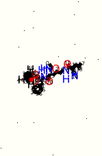 CC(=O)N[C@@H](CCCCNC(=O)/C(C#N)=C/C(C)C)C(=O)N[C@@H](Cc1ccccc1)B1O[C@@H]2C[C@@H]3C[C@@H](C3(C)C)[C@]2(C)O1